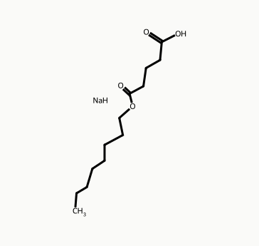 CCCCCCCCOC(=O)CCCC(=O)O.[NaH]